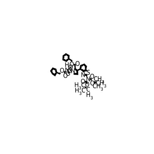 CC(C)(C)OC(=O)N(C(=O)OC(C)(C)C)c1nc2c(-c3ccn(S(=O)(=O)NC(=O)OCc4ccccc4)c3C(=O)OCc3ccccc3)cccc2s1